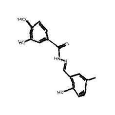 Cc1ccc(O)c(C=NNC(=O)c2ccc(O)c(O)c2)c1